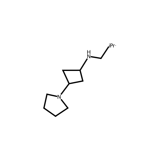 C[C](C)CNC1CC(N2CCCC2)C1